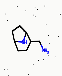 NCC1CCC2CCC1N2